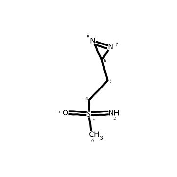 CS(=N)(=O)CCC1N=N1